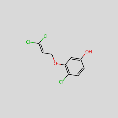 Oc1ccc(Cl)c(OCC=C(Cl)Cl)c1